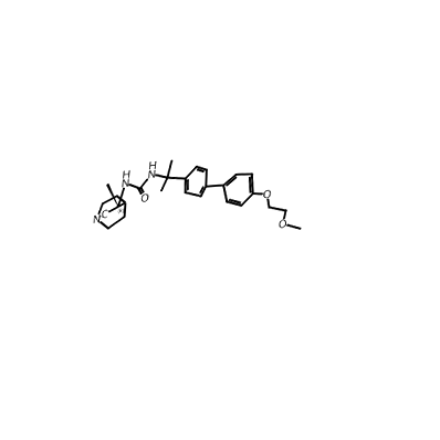 COCCOc1ccc(-c2ccc(C(C)(C)NC(=O)N[C@@]3(C)CN4CCC3CC4)cc2)cc1